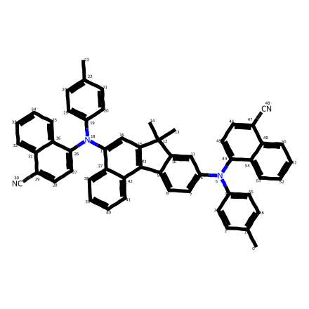 Cc1ccc(N(c2ccc3c(c2)C(C)(C)c2cc(N(c4ccc(C)cc4)c4ccc(C#N)c5ccccc45)c4ccccc4c2-3)c2ccc(C#N)c3ccccc23)cc1